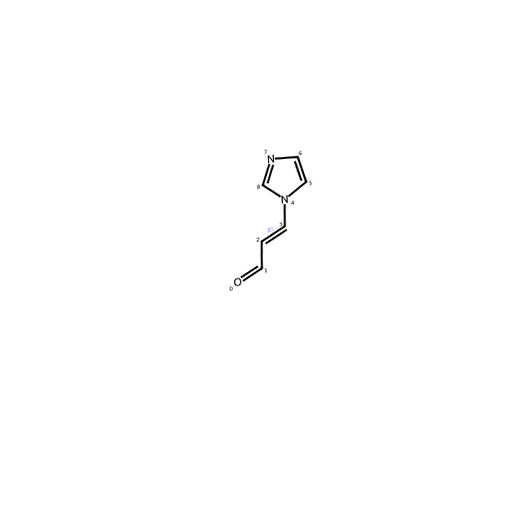 O=C/C=C/n1ccnc1